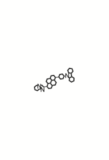 c1ccc2c(c1)c1ccccc1n2-c1ccc(-c2ccc3ccc4c(-c5cn6ccccc6n5)ccc5ccc2c3c54)cc1